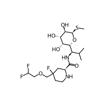 CS[C@H]1O[C@H]([C@H](NC(=O)[C@@H]2CC(F)(COCC(F)F)CCN2)C(C)C)[C@H](O)[C@H](O)[C@H]1O